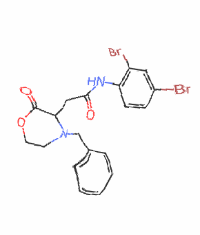 O=C(CC1C(=O)OCCN1Cc1ccccc1)Nc1ccc(Br)cc1Br